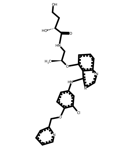 C[C@@H](CNC(=O)[C@H](O)CCO)Oc1cccc2ncnc(Nc3ccc(OCc4ccccn4)c(Cl)c3)c12